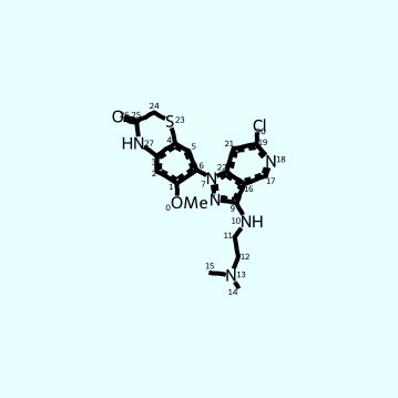 COc1cc2c(cc1-n1nc(NCCN(C)C)c3cnc(Cl)cc31)SCC(=O)N2